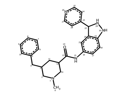 CN1CC(Cc2ccccc2)CC(C(=O)Nc2ccc3c(c2)C(c2ccncc2)NN3)C1